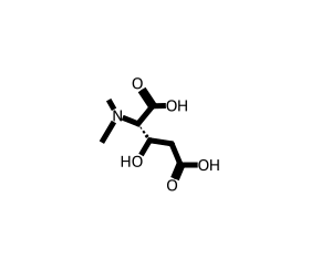 CN(C)[C@H](C(=O)O)C(O)CC(=O)O